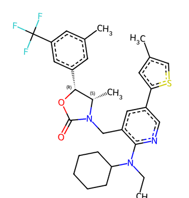 CCN(c1ncc(-c2cc(C)cs2)cc1CN1C(=O)O[C@H](c2cc(C)cc(C(F)(F)F)c2)[C@@H]1C)C1CCCCC1